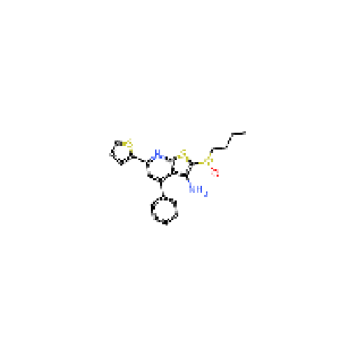 CCCC[S@+]([O-])c1sc2nc(-c3cccs3)cc(-c3ccccc3)c2c1N